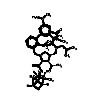 CNC(=O)c1cc(-c2cccc(CN3O[C@@H](CN(CC(C)C)C(C)C(C)C)[C@@H]([C@H](C)O)[C@H]3C(=O)N[C@H]3C[C@H]4C[C@@H]([C@@H]3C)C4(C)C)c2OC)cc(N(C)C)c1